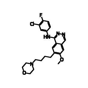 COc1cc2cnnc(Nc3ccc(F)c(Cl)c3)c2cc1CCCCN1CCOCC1